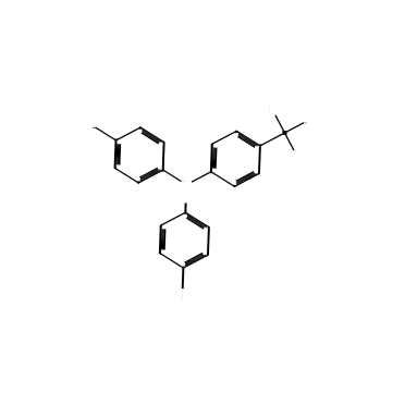 FC(F)(F)c1ccc([SH](c2ccc(I)cc2)c2ccc(I)cc2)cc1